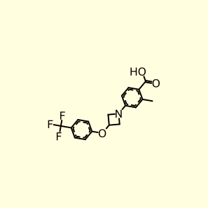 Cc1cc(N2CC(Oc3ccc(C(F)(F)F)cc3)C2)ccc1C(=O)O